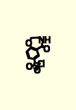 O=C1NCCOc2ccc(S(=O)(=O)Cl)cc21